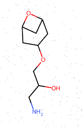 NCC(O)COC1CC2CC(C1)O2